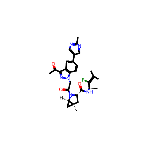 CC(=O)c1nn(CC(=O)N2[C@H](C(=O)N[C@H](C)C(F)=C(C)C)C[C@@]3(C)C[C@@H]23)c2ccc(-c3cnc(C)nc3)cc12